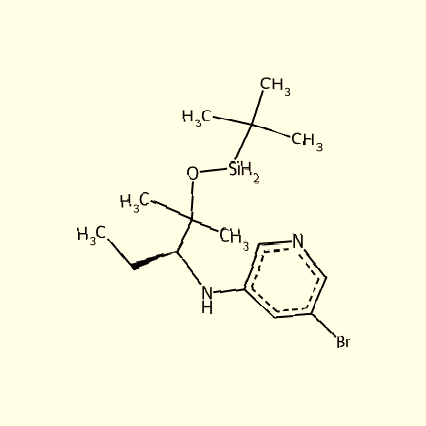 CC[C@H](Nc1cncc(Br)c1)C(C)(C)O[SiH2]C(C)(C)C